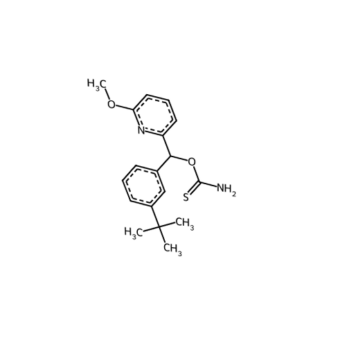 COc1cccc(C(OC(N)=S)c2cccc(C(C)(C)C)c2)n1